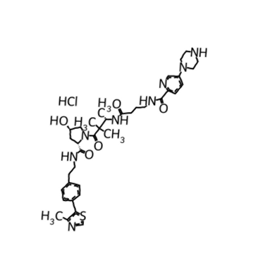 Cc1ncsc1-c1ccc(CCNC(=O)[C@@H]2C[C@@H](O)CN2C(=O)C(C)(C)[C@H](C)NC(=O)CCCNC(=O)c2ccc(N3CCNCC3)cn2)cc1.Cl